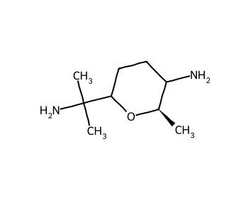 C[C@H]1OC(C(C)(C)N)CCC1N